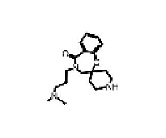 CN(C)CCCN1CC2(CCNCC2)Oc2ccccc2C1=O